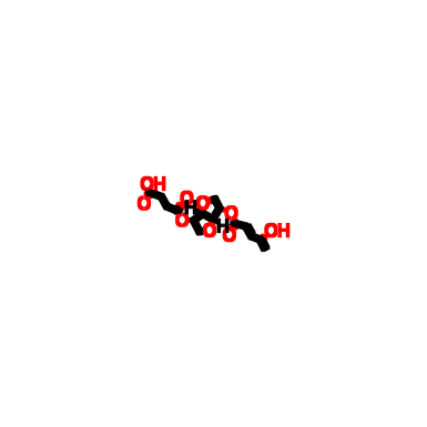 C=C(O)C=CC(=O)O[C@@H]1CO[C@H]2[C@@H]1OC[C@H]2OC(=O)CCC(=O)O